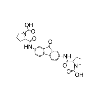 O=C1c2cc(NC(=O)C3CCCN3C(=O)O)ccc2-c2ccc(NC(=O)C3CCCN3C(=O)O)cc21